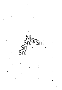 [Ni].[Sn].[Sn].[Sn].[Sn].[Sn]